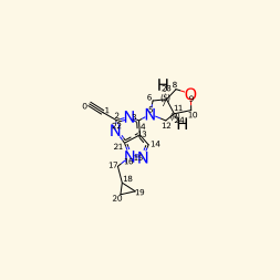 C#Cc1nc(N2C[C@H]3COC[C@H]3C2)c2cnn(CC3CC3)c2n1